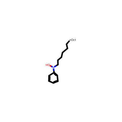 CCCCCCCCCCCCCCN(O)c1ccccc1